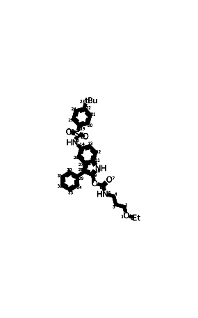 CCOCCCNC(=O)Oc1[nH]c2ccc(NS(=O)(=O)c3ccc(C(C)(C)C)cc3)cc2c1-c1ccccc1